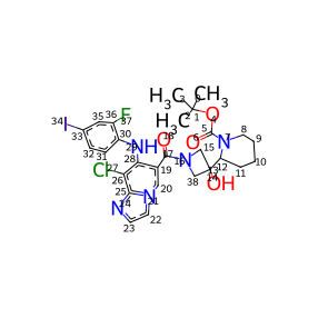 CC(C)(C)OC(=O)N1CCCCC1C1(O)CN(C(=O)c2cn3ccnc3c(Cl)c2Nc2ccc(I)cc2F)C1